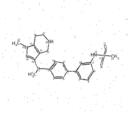 CN(c1ccc(-c2cccc(NS(C)(=O)=O)c2)cc1)c1nn(C)c2c1CNCC2